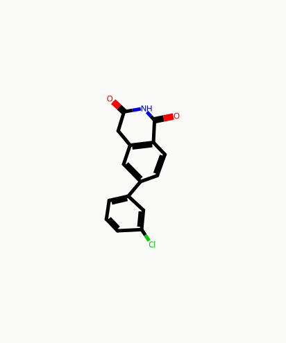 O=C1Cc2cc(-c3cccc(Cl)c3)ccc2C(=O)N1